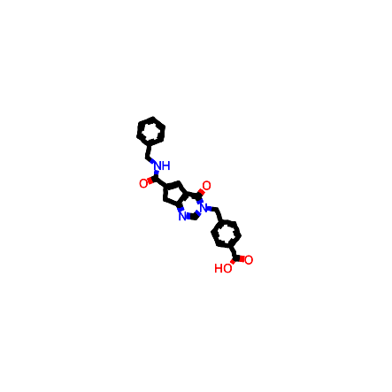 O=C(NCc1ccccc1)C1=Cc2c(ncn(Cc3ccc(C(=O)O)cc3)c2=O)C1